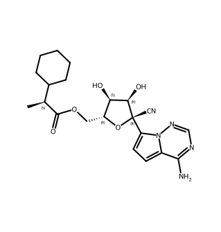 C[C@H](C(=O)OC[C@H]1O[C@@](C#N)(c2ccc3c(N)ncnn23)[C@H](O)[C@@H]1O)C1CCCCC1